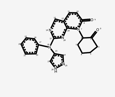 O=C1CCCCC1n1c(=O)ccc2cnc(N(c3ccccc3)c3cn[nH]c3)nc21